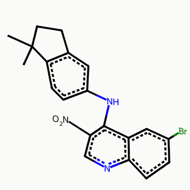 CC1(C)CCc2cc(Nc3c([N+](=O)[O-])cnc4ccc(Br)cc34)ccc21